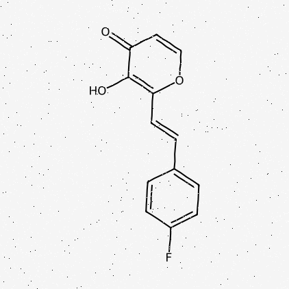 O=c1ccoc(C=Cc2ccc(F)cc2)c1O